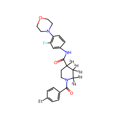 [2H]C1(C(=O)Nc2ccc(N3CCOCC3)c(F)c2)CCN(C(=O)c2ccc(CC)cc2)C([2H])([2H])C1([2H])[2H]